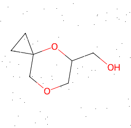 OCC1COCC2(CC2)O1